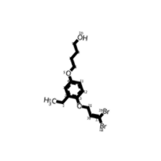 CCc1cc(OCCCCO)ccc1OCC=C(Br)Br